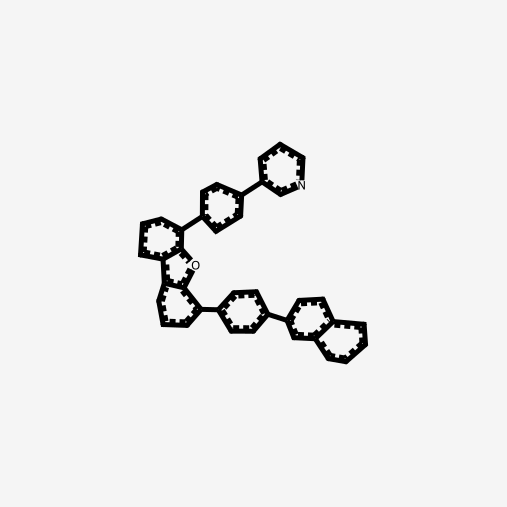 c1cncc(-c2ccc(-c3cccc4c3oc3c(-c5ccc(-c6ccc7ccccc7c6)cc5)cccc34)cc2)c1